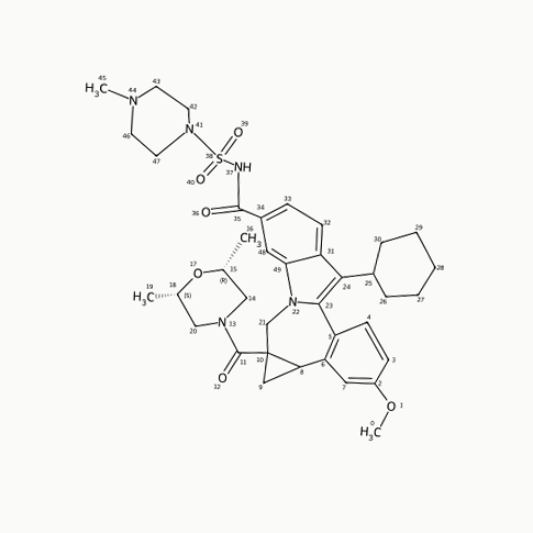 COc1ccc2c(c1)C1CC1(C(=O)N1C[C@@H](C)O[C@@H](C)C1)Cn1c-2c(C2CCCCC2)c2ccc(C(=O)NS(=O)(=O)N3CCN(C)CC3)cc21